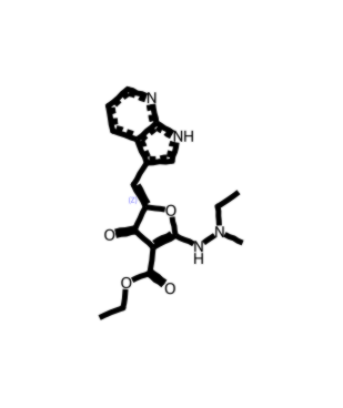 CCOC(=O)C1=C(NN(C)CC)O/C(=C\c2c[nH]c3ncccc23)C1=O